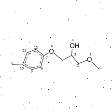 COCC(O)COc1ccc(C)cc1